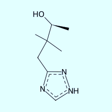 C[C@H](O)C(C)(C)Cc1nc[nH]n1